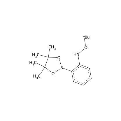 CC(C)(C)ONc1ccccc1B1OC(C)(C)C(C)(C)O1